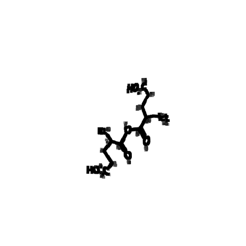 CCC(CCC(=O)O)C(=O)OC(=O)C(CC)CCC(=O)O